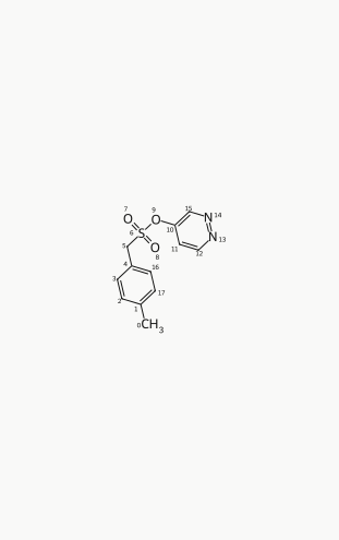 Cc1ccc(CS(=O)(=O)Oc2ccnnc2)cc1